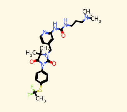 CN(C)CCCNC(=O)Nc1cc(CN2C(=O)N(c3ccc(SC(C)(F)F)cc3)C(=O)C2(C)C)ccn1